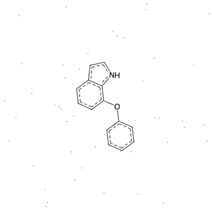 c1ccc(Oc2cccc3cc[nH]c23)cc1